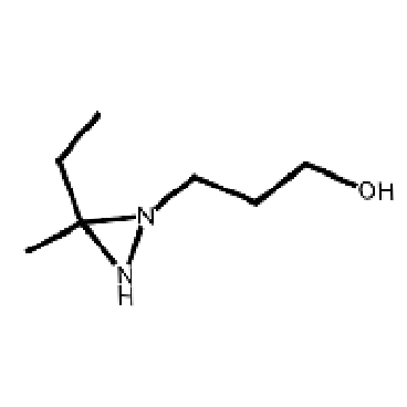 CCC1(C)NN1CCCO